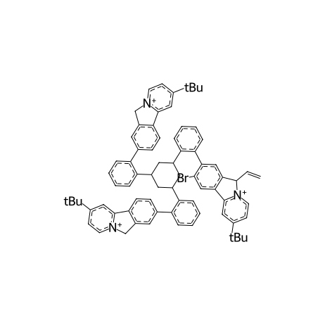 C=CC1c2cc(-c3ccccc3C3CC(c4ccccc4-c4ccc5c(c4)C[n+]4ccc(C(C)(C)C)cc4-5)CC(c4ccccc4-c4ccc5c(c4)C[n+]4ccc(C(C)(C)C)cc4-5)C3)c(Br)cc2-c2cc(C(C)(C)C)cc[n+]21